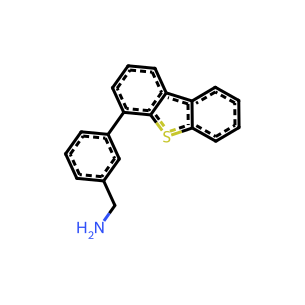 NCc1cccc(-c2cccc3c2sc2ccccc23)c1